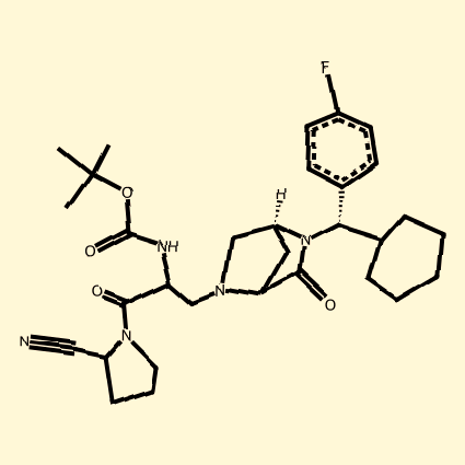 CC(C)(C)OC(=O)NC(CN1C[C@@H]2CC1C(=O)N2[C@H](c1ccc(F)cc1)C1CCCCC1)C(=O)N1CCCC1C#N